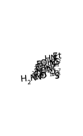 CCNc1nc(C2c3ccsc3CCN2C[C@H]2O[C@@H](n3ccc(N)nc3=O)C(F)(F)[C@@H]2O)cs1